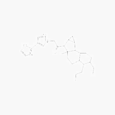 CCCC1C(CC)CCC2C1CCC1(C)C(C(=O)Cn3cc(-c4ncco4)cn3)C3CC3C21